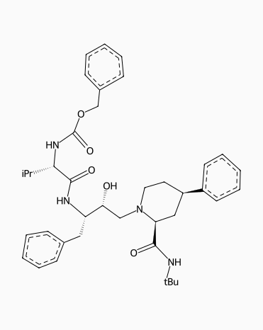 CC(C)[C@H](NC(=O)OCc1ccccc1)C(=O)N[C@@H](Cc1ccccc1)[C@H](O)CN1CC[C@@H](c2ccccc2)C[C@H]1C(=O)NC(C)(C)C